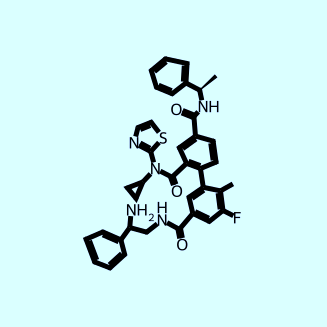 Cc1c(F)cc(C(=O)NCC(N)c2ccccc2)cc1-c1ccc(C(=O)N[C@H](C)c2ccccc2)cc1C(=O)N(c1nccs1)C1CC1